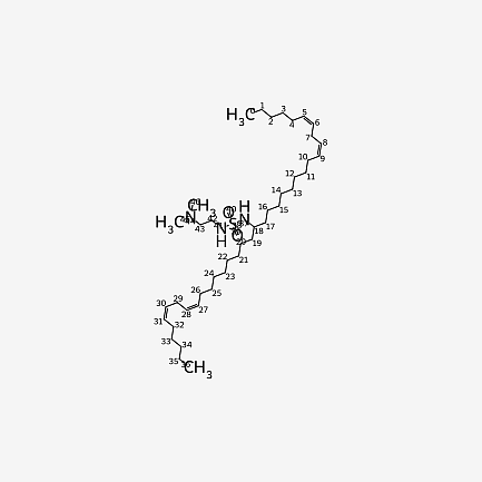 CCCCC/C=C\C/C=C\CCCCCCCCC(CCCCCCCC/C=C\C/C=C\CCCCC)NS(=O)(=O)NCCN(C)C